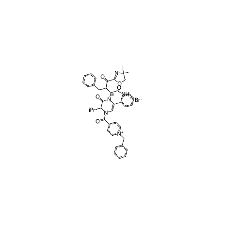 CC(C)C1C(=O)N([C@H](C(N)=O)C(Cc2ccccc2)C(=O)C2=NC(C)(C)CO2)C(c2ccccc2)=CN1C(=O)c1cc[n+](Cc2ccccc2)cc1.[Br-]